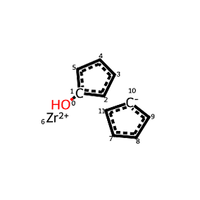 O[c-]1cccc1.[Zr+2].c1cc[cH-]c1